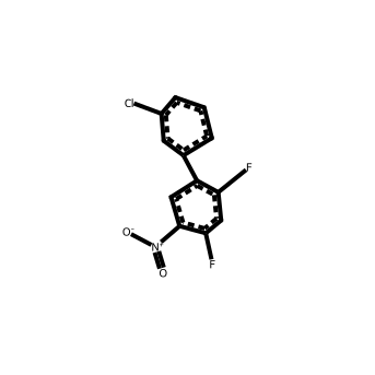 O=[N+]([O-])c1cc(-c2cccc(Cl)c2)c(F)cc1F